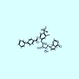 Cc1cc([C@@H](OC(=O)c2ccc(-c3ccccc3)cc2)[C@H]2O[C@@H](n3ccc4c(Cl)ncnc43)[C@H](O)[C@@H]2O)ccc1C(F)(F)F